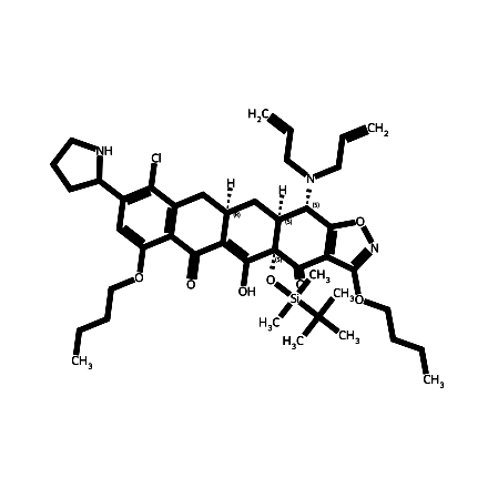 C=CCN(CC=C)[C@@H]1c2onc(OCCCC)c2C(=O)[C@@]2(O[Si](C)(C)C(C)(C)C)C(O)=C3C(=O)c4c(OCCCC)cc(C5CCCN5)c(Cl)c4C[C@H]3C[C@@H]12